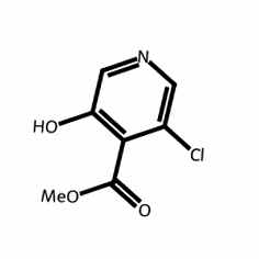 COC(=O)c1c(O)cncc1Cl